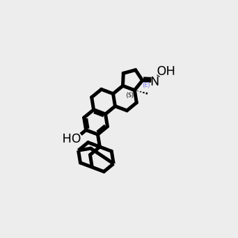 C[C@]12CCC3c4cc(C56CC7CC(CC(C7)C5)C6)c(O)cc4CCC3C1CC/C2=N\O